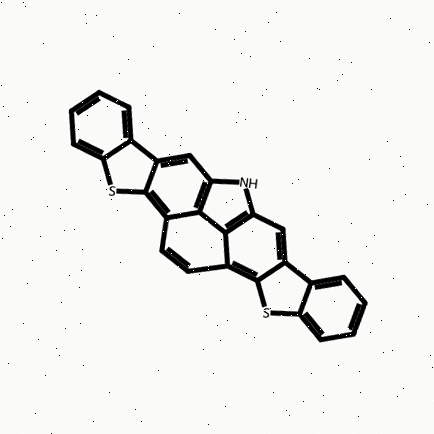 c1ccc2c(c1)sc1c2cc2[nH]c3cc4c5ccccc5sc4c4ccc1c2c34